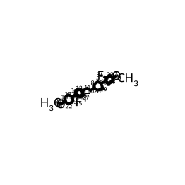 COc1ccc(C2CCC(CCc3ccc(C4CCC(OC)CC4)c(F)c3F)CC2)c(F)c1